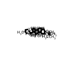 C[C@@H]1CC[C@@]2(OC1)O[C@H]1C[C@H]3[C@@H]4CC[C@H]5C[C@@H](O[Si](C)(C)C(C)(C)C)CC[C@]5(C)[C@H]4[C@@H](O)[C@@H](O)[C@]3(C)[C@H]1[C@@H]2C